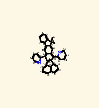 CC1(C)c2ccccc2-c2cc3c(-c4ccccn4)c4c(c(-c5ccccn5)c3cc21)-c1cccc2cccc-4c12